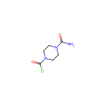 NC(=O)N1CCN(C(=O)Cl)CC1